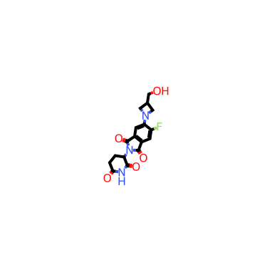 O=C1CCC(N2C(=O)c3cc(F)c(N4CC(CO)C4)cc3C2=O)C(=O)N1